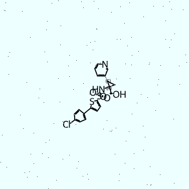 O=C(O)[C@@]1(NS(=O)(=O)c2ccc(-c3ccc(Cl)cc3)s2)C[C@H]1c1cccnc1